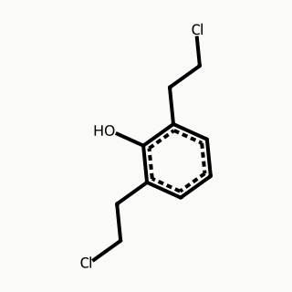 Oc1c(CCCl)cccc1CCCl